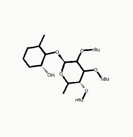 CCCCOC1C(OCCCC)[C@H](OCCCC)C(C)O[C@H]1OC1C(C)CCC[C@H]1O